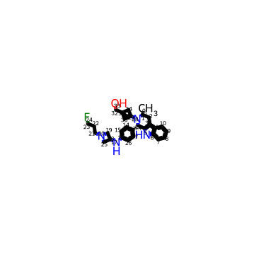 C[C@H]1Cc2c([nH]c3ccccc23)[C@H](c2ccc(NC3CN(CCCF)C3)cc2)N1C12CC(CO)(C1)C2